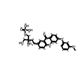 COc1cccc(Oc2ccc3c(=O)c4cc(CCC(N)(CO)COP(=O)(O)O)ccc4oc3c2)c1